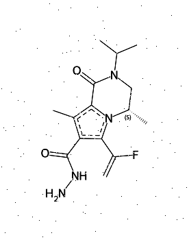 C=C(F)c1c(C(=O)NN)c(C)c2n1[C@@H](C)CN(C(C)C)C2=O